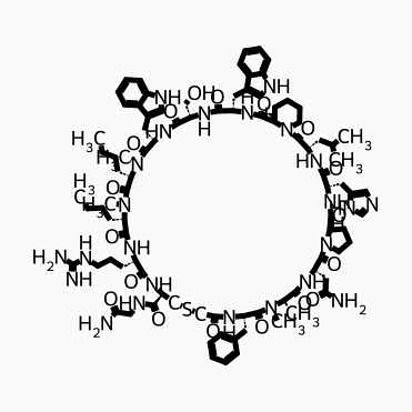 CCCC[C@H]1C(=O)N(C)[C@@H](CCCC)C(=O)N[C@@H](CCCNC(=N)N)C(=O)N[C@H](C(=O)NCC(N)=O)CSCC(=O)N[C@@H](Cc2ccccc2)C(=O)N(C)[C@@H](C)C(=O)N[C@@H](CC(N)=O)C(=O)N2CCC[C@H]2C(=O)N[C@@H](Cc2cnc[nH]2)C(=O)N[C@@H](CC(C)C)C(=O)N2CCCC[C@H]2C(=O)N[C@@H](Cc2c[nH]c3ccccc23)C(=O)N[C@@H](CO)C(=O)N[C@@H](Cc2c[nH]c3ccccc23)C(=O)N1C